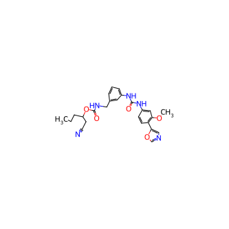 CCCC(CC#N)OC(=O)NCc1cccc(NC(=O)Nc2ccc(-c3cnco3)c(OC)c2)c1